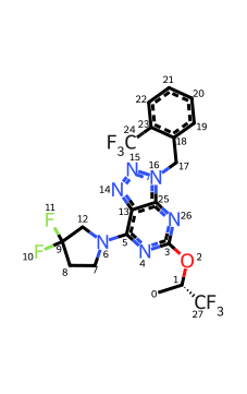 C[C@H](Oc1nc(N2CCC(F)(F)C2)c2nnn(Cc3ccccc3C(F)(F)F)c2n1)C(F)(F)F